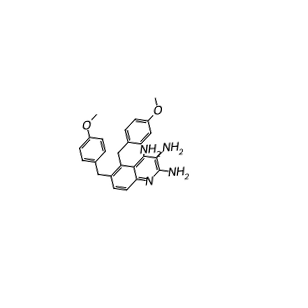 COc1ccc(Cc2ccc3nc(N)c(N)c(N)c3c2Cc2ccc(OC)cc2)cc1